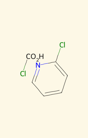 Clc1ccccn1.O=C(O)Cl